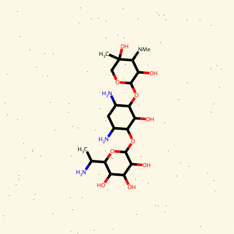 CNC1C(O)C(OC2C(N)CC(N)C(OC3OC(C(C)N)C(O)C(O)C3O)C2O)OCC1(C)O